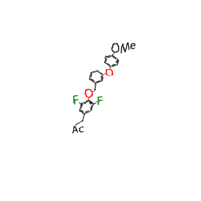 COc1ccc(Oc2cccc(COc3c(F)cc(CCC(C)=O)cc3F)c2)cc1